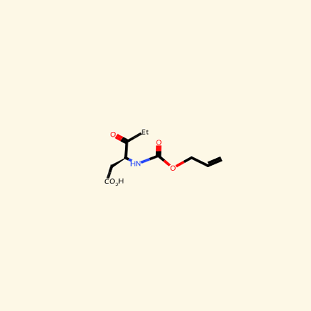 C=CCOC(=O)N[C@@H](CC(=O)O)C(=O)CC